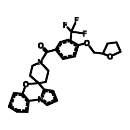 O=C(c1ccc(OCC2CCCO2)c(C(F)(F)F)c1)N1CCC2(CC1)Oc1ccccc1-n1cccc12